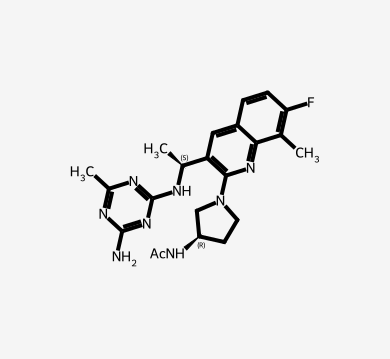 CC(=O)N[C@@H]1CCN(c2nc3c(C)c(F)ccc3cc2[C@H](C)Nc2nc(C)nc(N)n2)C1